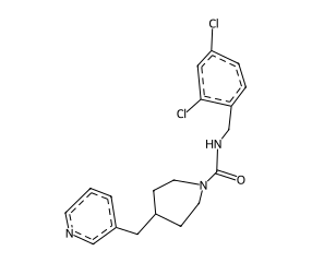 O=C(NCc1ccc(Cl)cc1Cl)N1CCC(Cc2cccnc2)CC1